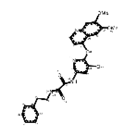 COc1cc2nccc(Oc3ncc(NC(=O)C(=O)NCCc4ccccc4)cc3Cl)c2cc1OC